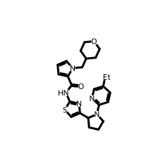 CCc1ccc(N2CCCC2c2csc(NC(=O)c3cccn3CC3CCOCC3)n2)nc1